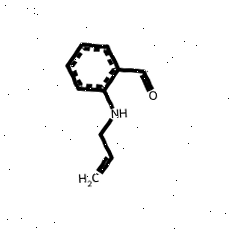 C=CCNc1ccccc1[C]=O